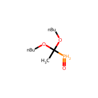 CCCCOC(C)(OCCCC)[PH2]=O